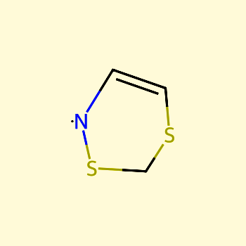 C1=CSCS[N]1